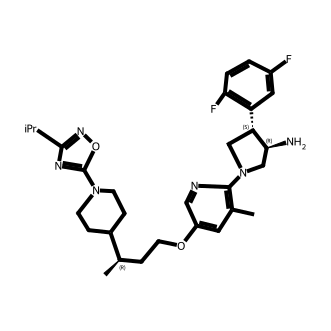 Cc1cc(OCC[C@@H](C)C2CCN(c3nc(C(C)C)no3)CC2)cnc1N1C[C@H](c2cc(F)ccc2F)[C@@H](N)C1